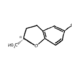 O=C(O)[C@@H]1CCc2cc(Cl)ccc2O1